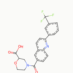 O=C(O)C1CN(C(=O)c2ccc3nc(-c4cccc(C(F)(F)F)c4)ccc3c2)CCO1